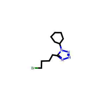 BrCCCCc1nnnn1C1CCCCC1